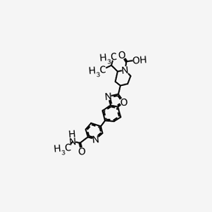 CNC(=O)c1ccc(-c2ccc3oc(C4CCN(C(=O)O)C(C(C)C)C4)nc3c2)cn1